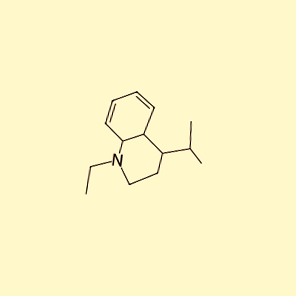 CCN1CCC(C(C)C)C2C=CC=CC21